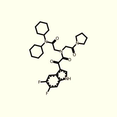 O=C(C(=O)N(CC(=O)N1CCCC1)CC(=O)N(C1CCCCC1)C1CCCCC1)c1c[nH]c2cc(F)c(F)cc12